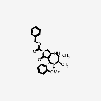 COc1ccccc1[C@H]1N[C@H](C)[C@@H](C)NC2=C1C(=O)N(C(=O)OCc1ccccc1)C2